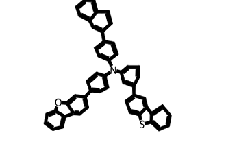 c1cc(-c2ccc3sc4ccccc4c3c2)cc(N(c2ccc(-c3ccc4ccccc4c3)cc2)c2ccc(-c3ccc4c(c3)oc3ccccc34)cc2)c1